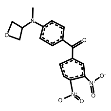 CN(c1ccc(C(=O)c2ccc([N+](=O)[O-])c([N+](=O)[O-])c2)cc1)C1COC1